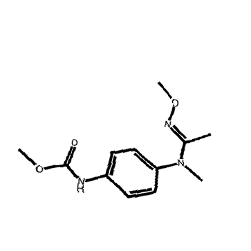 CON=C(C)N(C)c1ccc(NC(=O)OC)cc1